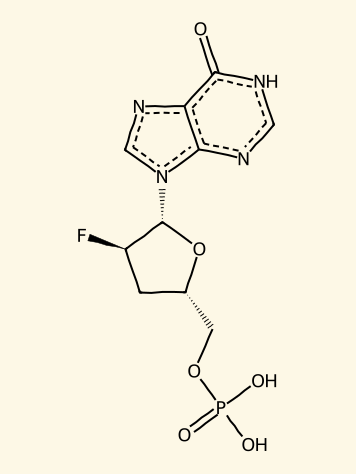 O=c1[nH]cnc2c1ncn2[C@@H]1O[C@H](COP(=O)(O)O)C[C@H]1F